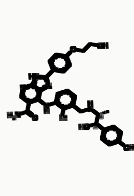 CCc1c(CN[C@H](C)[C@H](O)c2ccc(O)cc2)cccc1Nc1c(C(N)=O)cnc2[nH]c(-c3ccc(OCCO)cc3)nc12